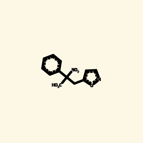 O=C(O)C(Cc1ccno1)(c1ccccc1)[N+](=O)[O-]